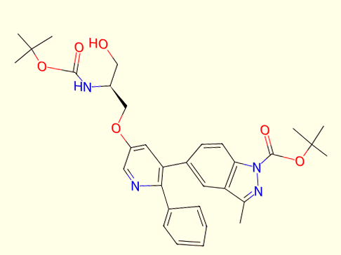 Cc1nn(C(=O)OC(C)(C)C)c2ccc(-c3cc(OC[C@H](CO)NC(=O)OC(C)(C)C)cnc3-c3ccccc3)cc12